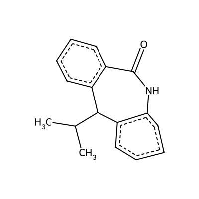 CC(C)C1c2ccccc2NC(=O)c2ccccc21